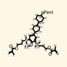 C=C(C)C(=O)OCCCS(C)(C)c1cc(C2CCC(C3CCC(CCCCC)CC3)CC2)cc(S(C)(C)CCCOC(=O)C(=C)C)c1OCC